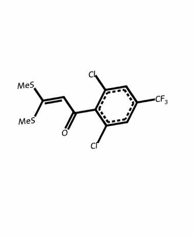 CSC(=CC(=O)c1c(Cl)cc(C(F)(F)F)cc1Cl)SC